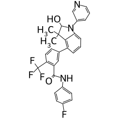 CC1(C)c2c(-c3ccc(C(F)(F)F)c(C(=O)Nc4ccc(F)cc4)c3)cccc2N(c2cccnc2)C1O